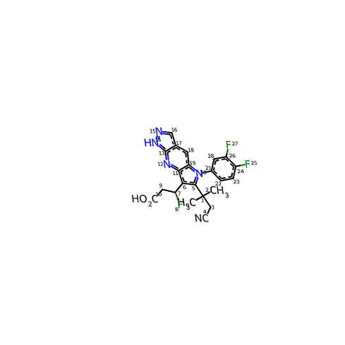 CC(C)(CC#N)c1c([C@@H](F)CC(=O)O)c2nc3[nH]ncc3cc2n1-c1ccc(F)c(F)c1